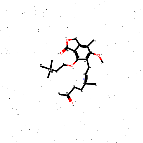 COc1c(C)c2c(c(OCC[Si](C)(C)C)c1C/C=C(\C)CCC(C)=O)C(=O)OC2